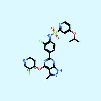 Cc1n[nH]c2nc(-c3ccc(NS(=O)(=O)c4cc(OC(C)C)ccn4)c(F)c3)nc(O[C@@H]3CCNC[C@@H]3F)c12